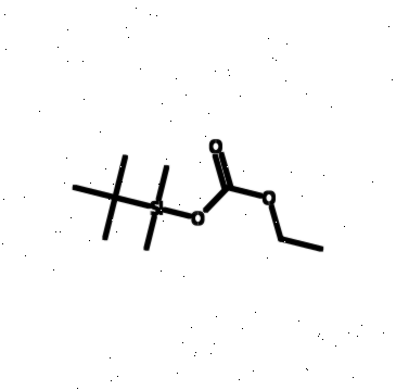 CCOC(=O)O[Si](C)(C)C(C)(C)C